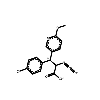 COc1ccc([C@H](c2ccc(Cl)cc2)C(N=[N+]=[N-])C(=O)O)cn1